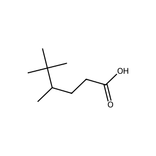 CC(CCC(=O)O)C(C)(C)C